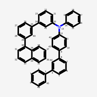 c1ccc(-c2cccc(-c3ccc(N(c4ccccc4)c4cccc(-c5cccc(-c6cccc7ccccc67)c5)c4)cc3)c2)cc1